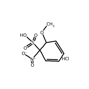 COC1C=CC=CC1([N+](=O)[O-])S(=O)(=O)O.Cl